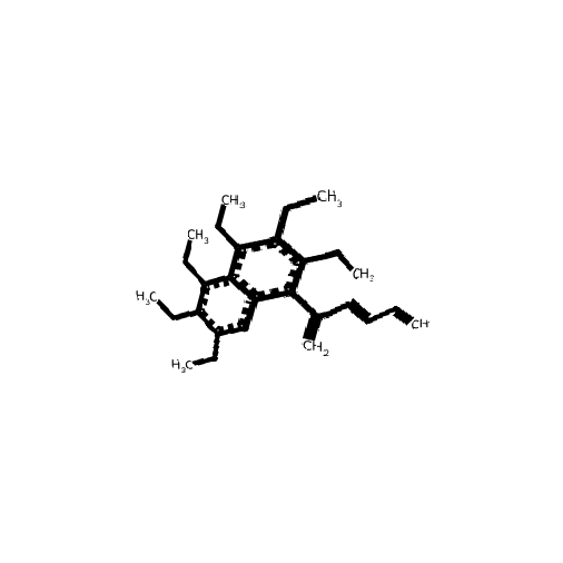 [CH]=CC=CC(=C)c1c(CC)c(CC)c(CC)c2c(CC)c(CC)c(CC)cc12